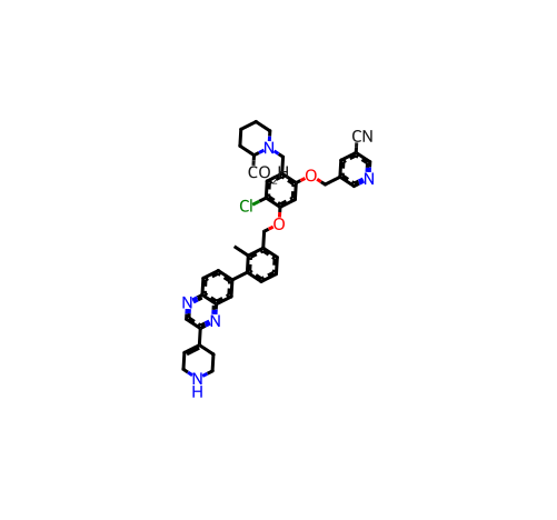 Cc1c(COc2cc(OCc3cncc(C#N)c3)c(CN3CCCCC3C(=O)O)cc2Cl)cccc1-c1ccc2ncc(C3=CCNCC3)nc2c1